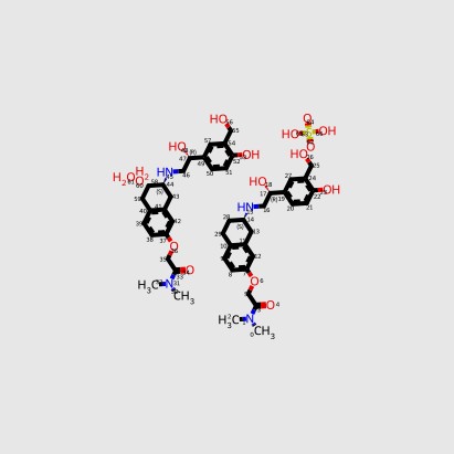 CN(C)C(=O)COc1ccc2c(c1)C[C@@H](NC[C@H](O)c1ccc(O)c(CO)c1)CC2.CN(C)C(=O)COc1ccc2c(c1)C[C@@H](NC[C@H](O)c1ccc(O)c(CO)c1)CC2.O.O.O=S(=O)(O)O